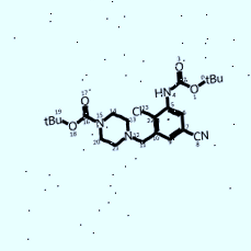 CC(C)(C)OC(=O)Nc1cc(C#N)cc(CN2CCN(C(=O)OC(C)(C)C)CC2)c1Cl